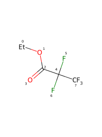 [CH2]COC(=O)C(F)(F)C(F)(F)F